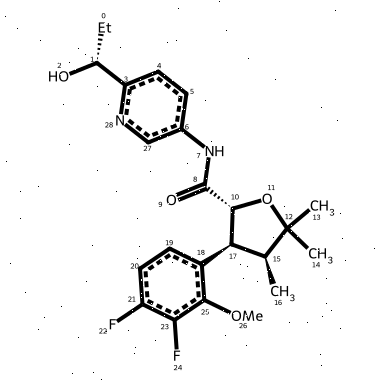 CC[C@@H](O)c1ccc(NC(=O)[C@@H]2OC(C)(C)[C@@H](C)[C@H]2c2ccc(F)c(F)c2OC)cn1